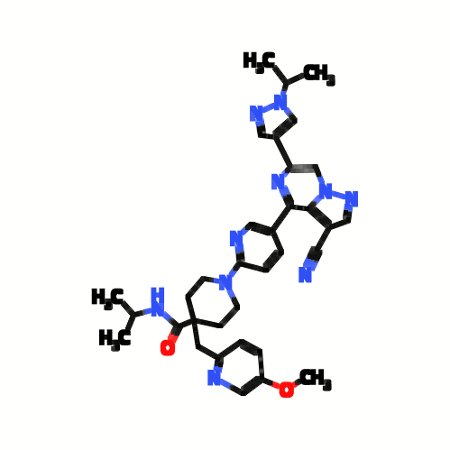 COc1ccc(CC2(C(=O)NC(C)C)CCN(c3ccc(-c4nc(-c5cnn(C(C)C)c5)cn5ncc(C#N)c45)cn3)CC2)nc1